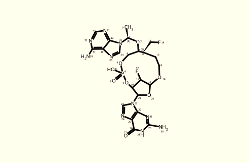 C[C@@H](OC1COP(=O)(O)OC2C(F)C(OCC[C@@H]1CF)OC2n1cnc2c(=O)[nH]c(N)nc21)n1cnc2c(N)ncnc21